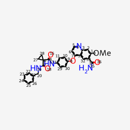 COc1cc2nccc(Oc3ccc(NC(=O)C4(C(=O)NCc5ccccc5)CC4)cc3)c2cc1C(N)=O